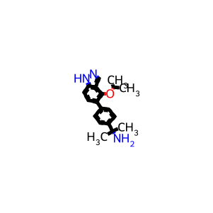 CC(C)Oc1c(-c2ccc(C(C)(C)N)cc2)ccc2[nH]ncc12